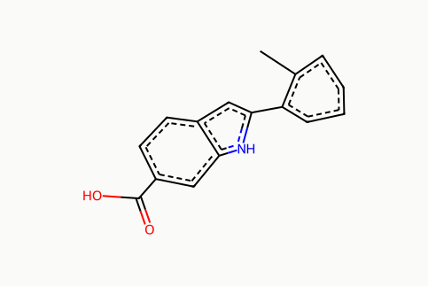 Cc1ccccc1-c1cc2ccc(C(=O)O)cc2[nH]1